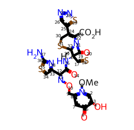 COn1cc(O)c(=O)cc1CO/N=C(\C(=O)N[C@@]1(C=S)C(=O)N2C(C(=O)O)=C(c3cnns3)CS[C@@H]21)c1csc(N)n1